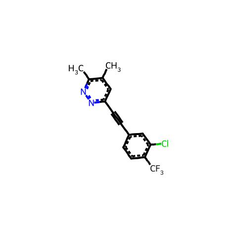 Cc1cc(C#Cc2ccc(C(F)(F)F)c(Cl)c2)nnc1C